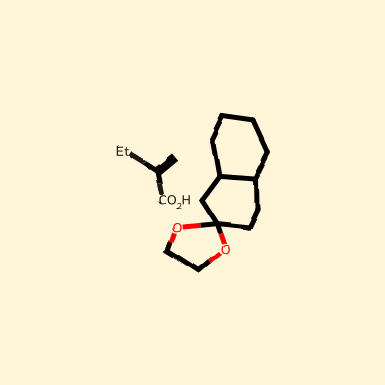 C1CCC2CC3(CCC2C1)OCCO3.C=C(CC)C(=O)O